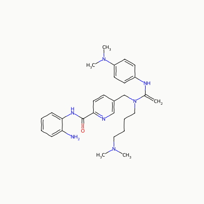 C=C(Nc1ccc(N(C)C)cc1)N(CCCCN(C)C)Cc1ccc(C(=O)Nc2ccccc2N)nc1